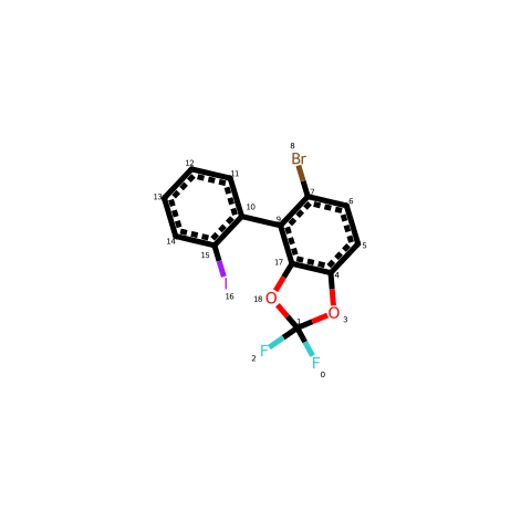 FC1(F)Oc2ccc(Br)c(-c3ccccc3I)c2O1